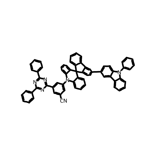 N#Cc1cc(-c2nc(-c3ccccc3)nc(-c3ccccc3)n2)cc(N2c3ccccc3C3(c4ccccc4-c4cc(-c5ccc6c(c5)c5ccccc5n6-c5ccccc5)ccc43)c3ccccc32)c1